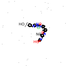 Cc1c(-c2cccc(N(Cl)C(=O)c3nc4c(n3C)CCN(CC3CCC(C(=O)O)CC3)C4)c2)cccc1-c1nc2cc(CN3CC4CC3CC4O)cc(C#N)c2o1